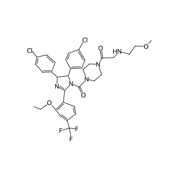 CCOc1cc(C(F)(F)F)ccc1C1=NC(c2ccc(Cl)cc2)C(c2ccc(Cl)cc2)N1C(=O)N1CCN(C(=O)CNCCOC)CC1